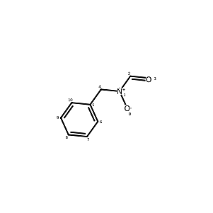 [O][N+](C=O)Cc1ccccc1